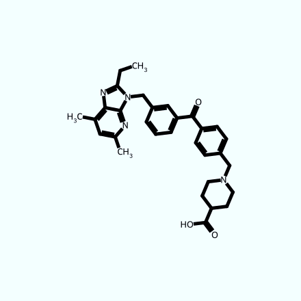 CCc1nc2c(C)cc(C)nc2n1Cc1cccc(C(=O)c2ccc(CN3CCC(C(=O)O)CC3)cc2)c1